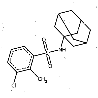 Cc1c(Cl)cccc1S(=O)(=O)NC12CC3CC(CC(C3)C1)C2